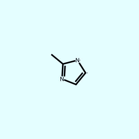 CC1=NC=[C][N]1